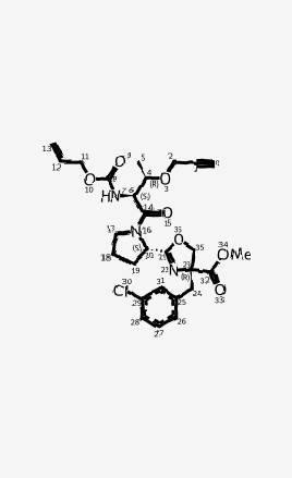 C#CCO[C@H](C)[C@H](NC(=O)OCC=C)C(=O)N1CCC[C@H]1C1=N[C@@](Cc2cccc(Cl)c2)(C(=O)OC)CO1